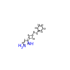 N=C(/C=C\N)C1CC(CCc2ccccc2)C1